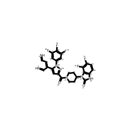 N=C/C=C(\C=N)c1cc(C(=O)N2CCC(n3c(=O)[nH]c4ccc(F)c(F)c43)CC2)nn1-c1cc(F)c(F)c(F)c1